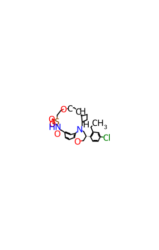 CCc1cc(Cl)ccc1[C@@H]1COc2ccc3cc2N(C1)C[C@@H]1CC[C@H]1CCCOCCS(=O)(=O)NC3=O